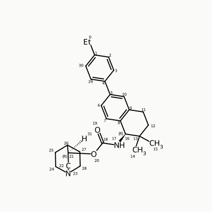 CCc1ccc(-c2ccc3c(c2)CCC(C)(C)[C@H]3NC(=O)O[C@H]2CN3CCC2CC3)cc1